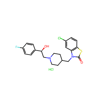 Cl.O=c1sc2ccc(Cl)cc2n1CC1CCN(C[C@H](O)c2ccc(F)cc2)CC1